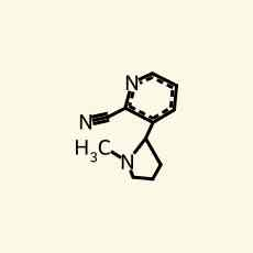 CN1CCCC1c1cccnc1C#N